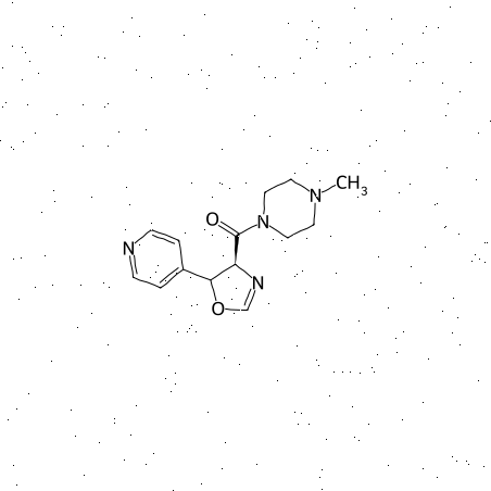 CN1CCN(C(=O)[C@H]2N=COC2c2ccncc2)CC1